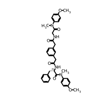 COc1ccc(N(C)C(=O)CNC(=O)Cc2cccc(CC(=O)N[C@@H](Cc3ccccc3)C(=O)N(C)c3ccc(OC)cc3)c2)cc1